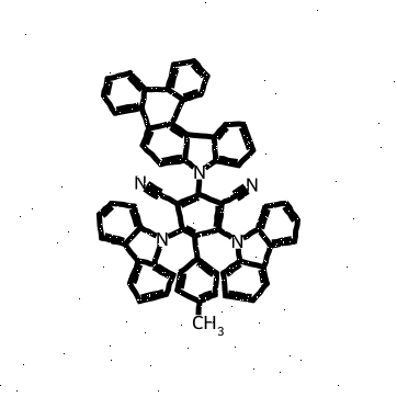 Cc1ccc(-c2c(-n3c4ccccc4c4ccccc43)c(C#N)c(-n3c4ccccc4c4c5c6ccccc6c6ccccc6c5ccc43)c(C#N)c2-n2c3ccccc3c3ccccc32)cc1